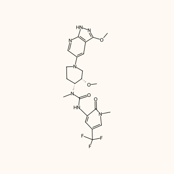 COc1n[nH]c2ncc(N3CC[C@@H](N(C)C(=O)Nc4cc(C(F)(F)F)cn(C)c4=O)[C@@H](OC)C3)cc12